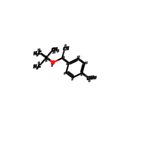 COc1ccc(C(C#N)O[Si](C)(C)C)cc1